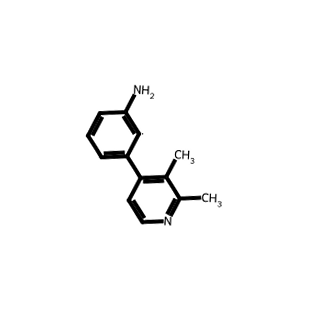 Cc1nccc(-c2[c]c(N)ccc2)c1C